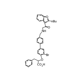 CCCCc1oc2ccccc2c1C(=O)CNCc1ccc(-c2ccc(OC(Cc3ccccc3)C(=O)O)c(Br)c2)cc1